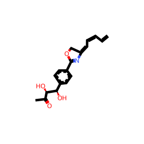 C=C/C=C\C=C1/COC(c2ccc([C@@H](O)[C@H](O)C(C)=O)cc2)=N1